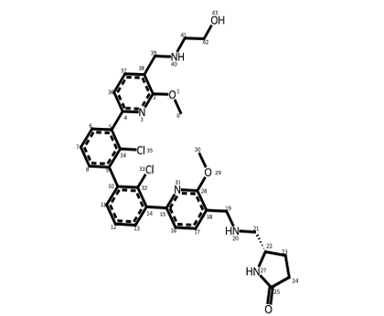 COc1nc(-c2cccc(-c3cccc(-c4ccc(CNC[C@@H]5CCC(=O)N5)c(OC)n4)c3Cl)c2Cl)ccc1CNCCO